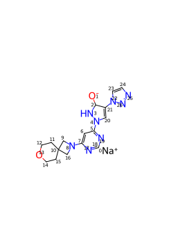 [Na+].[O-]C1NN(c2cc(N3CC4(CCOCC4)C3)ncn2)C=C1n1ccnn1